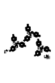 Cc1ccc(OP(Oc2ccc(C)cc2)Oc2ccc(C)cc2)cc1.Cc1ccc(OP(Oc2ccc(C)cc2)Oc2ccc(C)cc2)cc1.Cc1ccc(OP(Oc2ccc(C)cc2)Oc2ccc(C)cc2)cc1.[C]=O.[C]=O.[Ru]